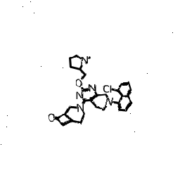 CN1CCCC1COc1nc2c(c(N3CCC4CC(=O)C4C3)n1)CCN(c1cccc3cccc(Cl)c13)C2